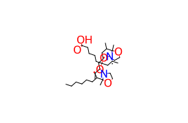 C[CH]CC(CCCCC(=O)O)(ON1CCOC1(C)C(C)CCCCCC)ON1CCOC1(C)C(C)CCCCCC